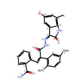 COc1ccc(OC)c(C(=Cc2ccccc2C(N)=O)C(=O)NN=C2C(=O)Nc3c(C)cc(Br)cc32)c1